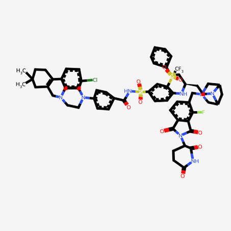 CC1(C)CCC(c2ccc(Cl)cc2)=C(CN2CCN(c3ccc(C(=O)NS(=O)(=O)c4ccc(N[C@H](CCN5C6CC5CN(Cc5ccc7c(c5F)C(=O)N(C5CCC(=O)NC5=O)C7=O)C6)CSc5ccccc5)c(S(=O)(=O)C(F)(F)F)c4)cc3)CC2)C1